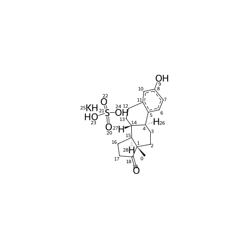 C[C@]12CC[C@@H]3c4ccc(O)cc4CC[C@H]3[C@@H]1CCC2=O.O=S(=O)(O)O.[KH]